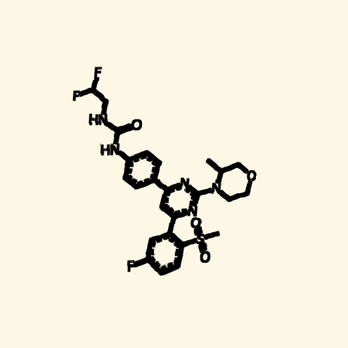 CC1COCCN1c1nc(-c2ccc(NC(=O)NCC(F)F)cc2)cc(-c2cc(F)ccc2S(C)(=O)=O)n1